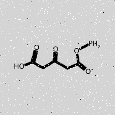 O=C(O)CC(=O)CC(=O)OP